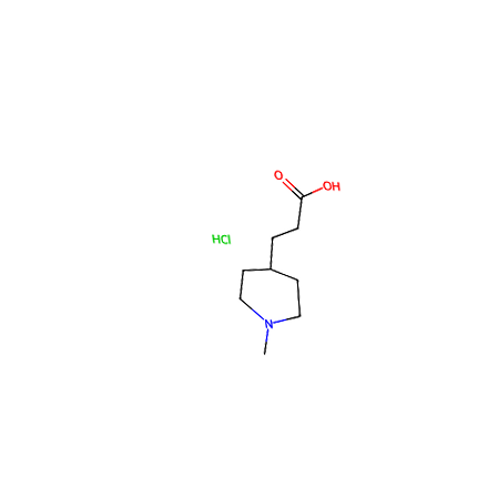 CN1CCC(CCC(=O)O)CC1.Cl